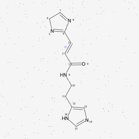 O=C(/C=C/C1=NCC=N1)NCCc1cnc[nH]1